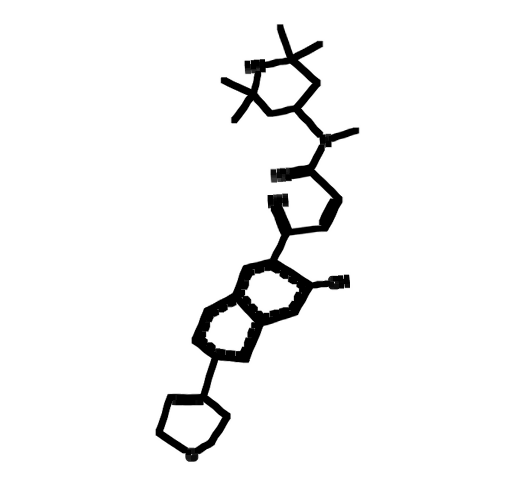 CN(C(=N)/C=C\C(=N)c1cc2ccc(C3=CCOCC3)cc2cc1O)C1CC(C)(C)NC(C)(C)C1